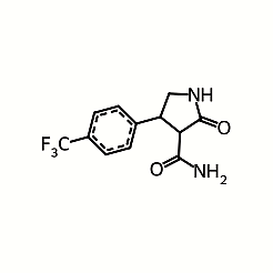 NC(=O)C1C(=O)NCC1c1ccc(C(F)(F)F)cc1